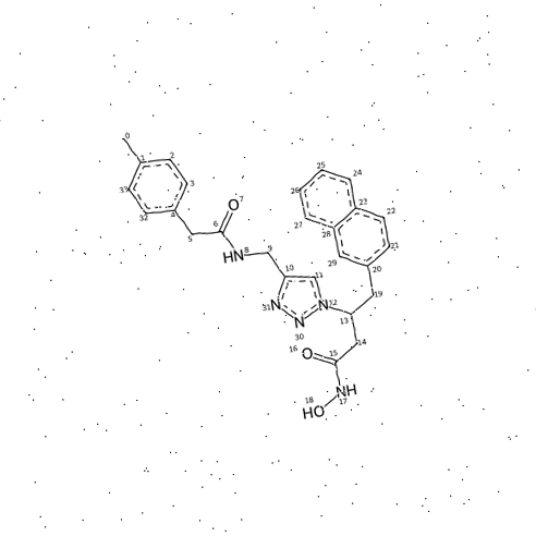 Cc1ccc(CC(=O)NCc2cn(C(CC(=O)NO)Cc3ccc4ccccc4c3)nn2)cc1